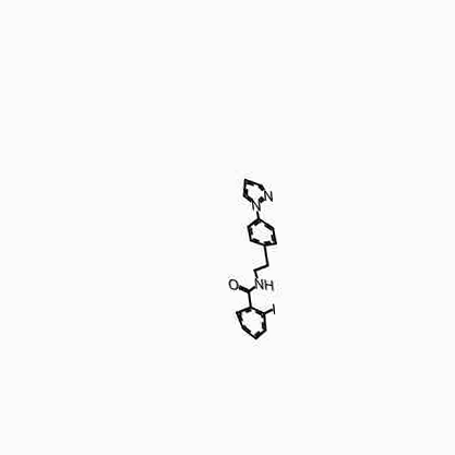 O=C(NCCc1ccc(-n2cccn2)cc1)c1ccccc1I